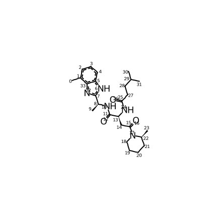 Cc1cccc2[nH]c([C@H](C)NC(=O)[C@H](CC(=O)N3CCCC[C@@H]3C)NC(=O)CCC(C)C)nc12